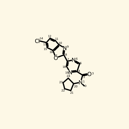 CN(C(=O)c1cnc(-c2nc3ccc(Cl)cc3o2)cn1)C1CCCC1